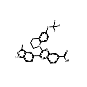 Cc1n[nH]c2ccc(-c3nc4ccc(C(=O)O)cc4nc3N3CCCc4cc(OC(F)(F)F)ccc43)cc12